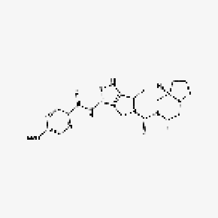 COc1ccc(C(=O)Nc2n[nH]c3c2CN(C(=O)N2C[C@@H]4CCCN4C[C@@H]2C)C3C)nc1